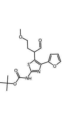 COCCC(C=O)c1sc(NC(=O)OC(C)(C)C)nc1-c1ccco1